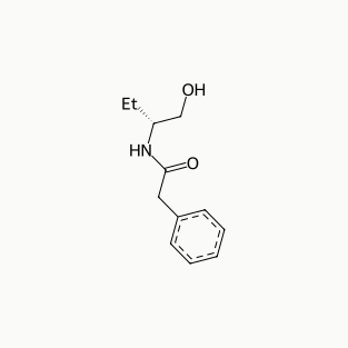 CC[C@H](CO)NC(=O)Cc1ccccc1